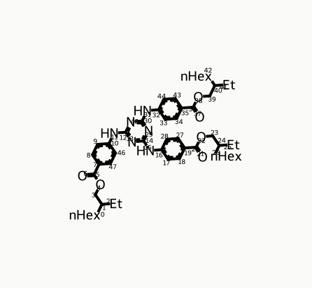 CCCCCCC(CC)COC(=O)c1ccc(Nc2nc(Nc3ccc(C(=O)OCC(CC)CCCCCC)cc3)nc(Nc3ccc(C(=O)OCC(CC)CCCCCC)cc3)n2)cc1